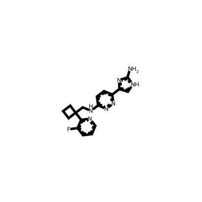 Nc1nc(-c2ccc(NCC3(c4ncccc4F)CCC3)nn2)c[nH]1